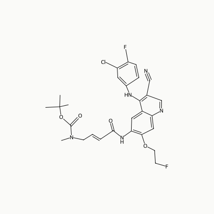 CN(CC=CC(=O)Nc1cc2c(Nc3ccc(F)c(Cl)c3)c(C#N)cnc2cc1OCCF)C(=O)OC(C)(C)C